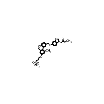 COC(=O)C[C@@H]1COc2cc(OCc3ccc4c(c3)-c3c(C)cc(OCCCS(C)(=O)=O)cc3CO4)ccc21